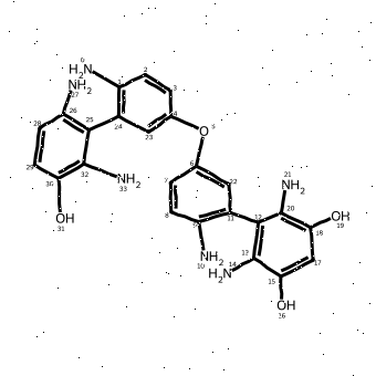 Nc1ccc(Oc2ccc(N)c(-c3c(N)c(O)cc(O)c3N)c2)cc1-c1c(N)ccc(O)c1N